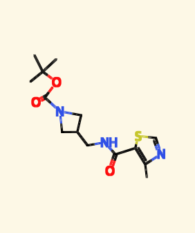 Cc1ncsc1C(=O)NCC1CN(C(=O)OC(C)(C)C)C1